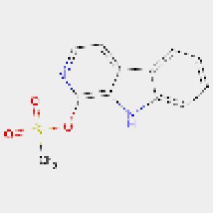 O=S(=O)(Oc1nccc2c1[nH]c1ccccc12)C(F)(F)F